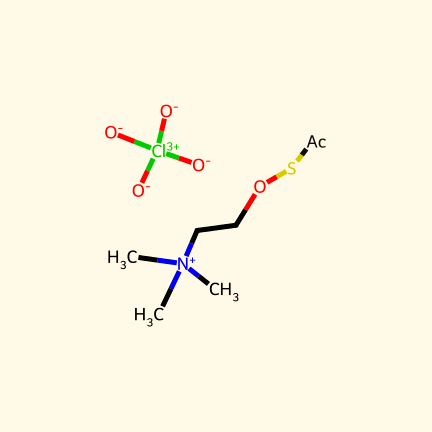 CC(=O)SOCC[N+](C)(C)C.[O-][Cl+3]([O-])([O-])[O-]